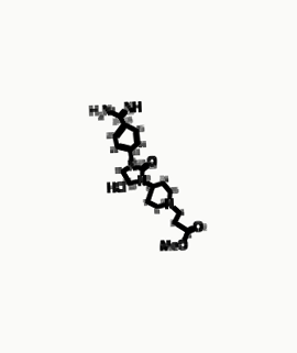 COC(=O)CCN1CCC(N2CCN(c3ccc(C(=N)N)cc3)C2=O)CC1.Cl